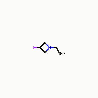 C[C](C)CN1CC(I)C1